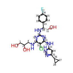 OCC(O)CNc1nc(N[C@@H](CO)c2ccc(F)cc2)nc(Nc2cc(C3CC3)n[nH]2)c1Cl